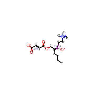 CCCC/C(COC(=O)/C=C/C(=O)[O-])=[P+](\[O-])CC[N+](C)(C)C